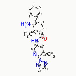 Nc1c(-c2ccccc2)ccc(C(=O)Nc2cnc(-n3nccn3)c(C(F)(F)F)c2)c1C(F)(F)F